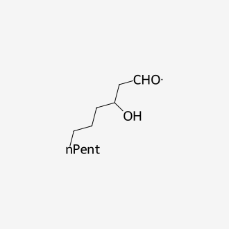 CCCCCCCCC(O)C[C]=O